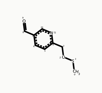 CSOCc1ccc(C=O)cn1